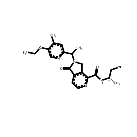 Cc1cc(C(C)N2Cc3c(ccnc3C(=O)N[C@@H](C)CO)C2=O)ncc1OCC(F)(F)F